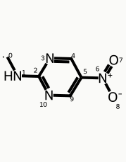 [CH2]Nc1ncc([N+](=O)[O-])cn1